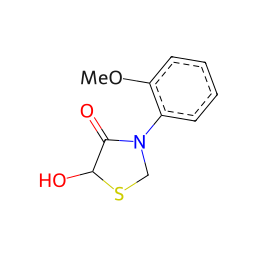 COc1ccccc1N1CSC(O)C1=O